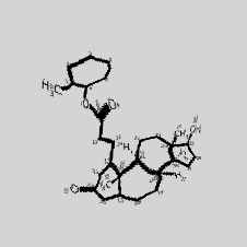 CC1CCCCC1OC(=O)CCC1CC(=O)CC2CC[C@@H]3[C@H](CC[C@]4(C)[C@@H](O)CC[C@@H]34)[C@@]12C